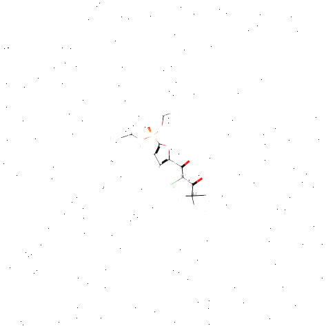 CCOP(=O)(OCC)c1ccc(C(=O)C(Cl)C(=O)C(C)(C)C)o1